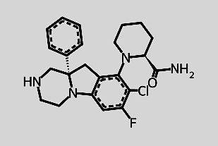 NC(=O)[C@@H]1CCCCN1c1c(Cl)c(F)cc2c1C[C@]1(c3ccccc3)CNCCN21